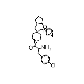 NC(Cc1ccc(Cl)cc1)C(=O)N1CCC(CC2CCCC2=O)(Cn2ccnc2)CC1